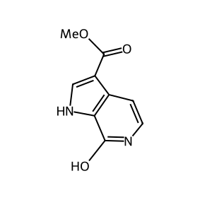 COC(=O)c1c[nH]c2c(O)nccc12